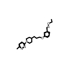 CCON=Cc1cccc(OCCCC2CCN(c3ccc(C)nn3)CC2)c1